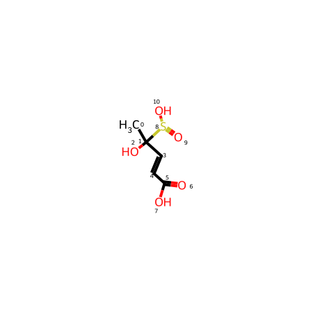 CC(O)(/C=C/C(=O)O)S(=O)O